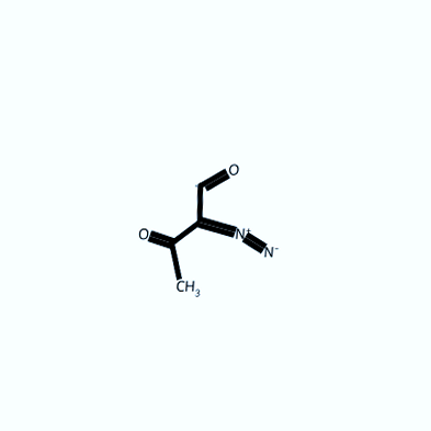 CC(=O)C([C]=O)=[N+]=[N-]